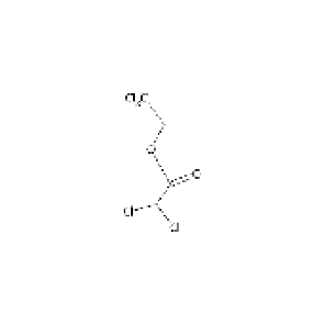 O=C(OCC(Cl)(Cl)Cl)C(Cl)Cl